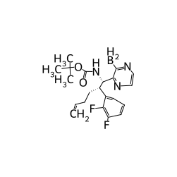 Bc1nccnc1[C@@H](NC(=O)OC(C)(C)C)[C@@H](CCC=C)c1cccc(F)c1F